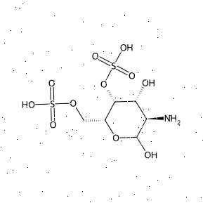 N[C@H]1C(O)O[C@H](COS(=O)(=O)O)[C@H](OS(=O)(=O)O)[C@@H]1O